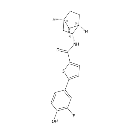 O=C(N[C@@H]1C[C@H]2CC[C@@H]1N2)c1ccc(-c2ccc(O)c(F)c2)s1